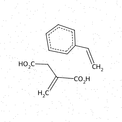 C=C(CC(=O)O)C(=O)O.C=Cc1ccccc1